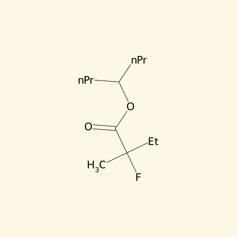 CCCC(CCC)OC(=O)C(C)(F)CC